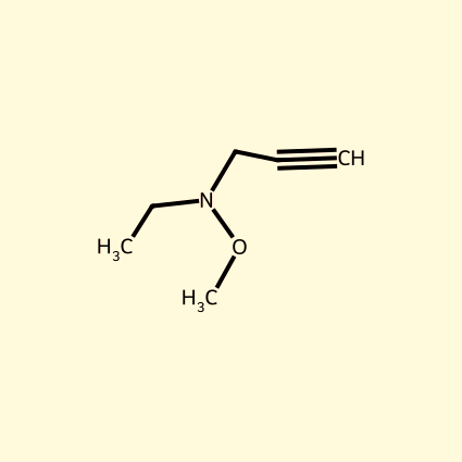 C#CCN(CC)OC